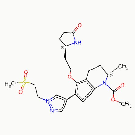 COC(=O)N1c2ccc(-c3cnn(CCS(C)(=O)=O)c3)c(OCC[C@H]3CCC(=O)N3)c2CC[C@@H]1C